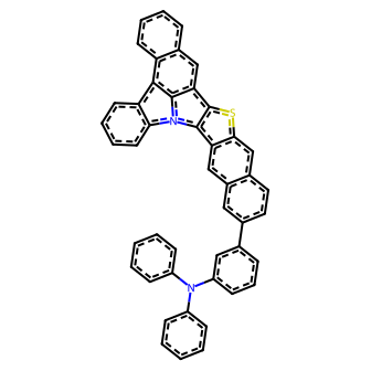 c1ccc(N(c2ccccc2)c2cccc(-c3ccc4cc5sc6c7cc8ccccc8c8c9ccccc9n(c6c5cc4c3)c78)c2)cc1